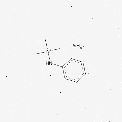 C[N+](C)(C)Nc1ccccc1.[SiH4]